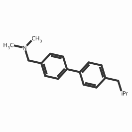 CC(C)Cc1ccc(-c2ccc(CN(C)C)cc2)cc1